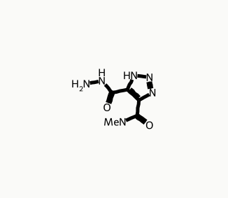 CNC(=O)c1nn[nH]c1C(=O)NN